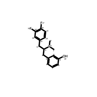 CN(C)C(Cc1cccc(O)c1)Cc1ccc(F)c(F)c1